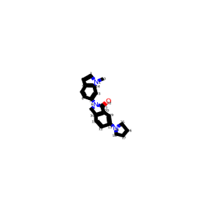 Cn1ccc2ccc(N3Cc4ccc(N5CCCC5)cc4C3=O)cc21